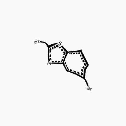 CCc1nc2cc(Br)ccc2s1